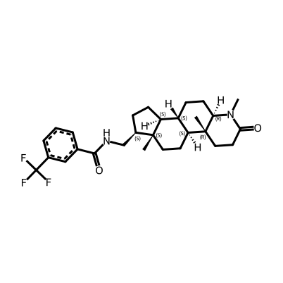 CN1C(=O)CC[C@]2(C)[C@H]3CC[C@]4(C)[C@@H](CNC(=O)c5cccc(C(F)(F)F)c5)CC[C@H]4[C@@H]3CC[C@@H]12